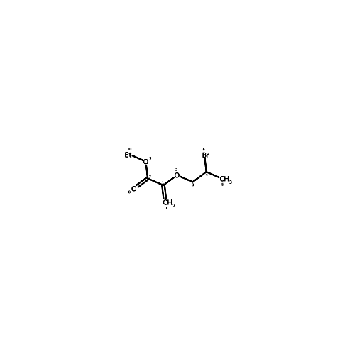 C=C(OCC(C)Br)C(=O)OCC